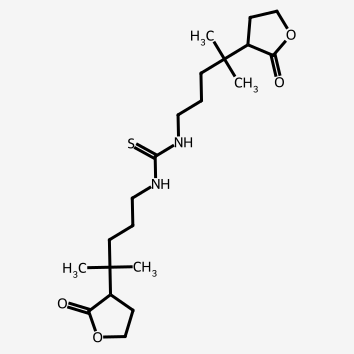 CC(C)(CCCNC(=S)NCCCC(C)(C)C1CCOC1=O)C1CCOC1=O